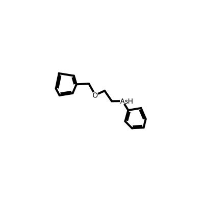 c1ccc(COCC[AsH]c2ccccc2)cc1